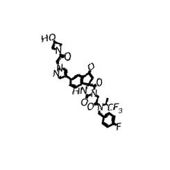 C[C@H](N(Cc1ccc(F)cc1)C(=O)CN1C(=O)NC2(CC(=O)c3cc(-c4cnn(CC(=O)N5CC(O)C5)c4)ccc32)C1=O)C(F)(F)F